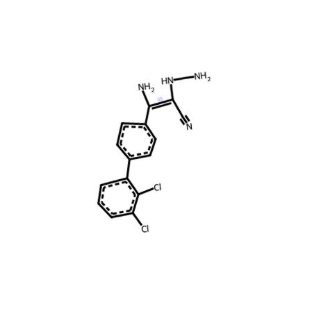 N#C/C(NN)=C(/N)c1ccc(-c2cccc(Cl)c2Cl)cc1